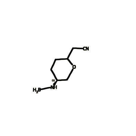 BN[C@H]1CCC(CC#N)OC1